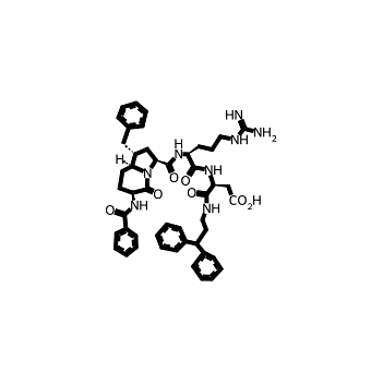 N=C(N)NCCC[C@H](NC(=O)[C@@H]1C[C@@H](Cc2ccccc2)[C@@H]2CC[C@H](NC(=O)c3ccccc3)C(=O)N12)C(=O)N[C@@H](CC(=O)O)C(=O)NCCC(c1ccccc1)c1ccccc1